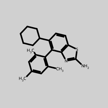 Cc1cc(C)c(-c2c(C3CCCCC3)ccc3sc(N)nc23)c(C)c1